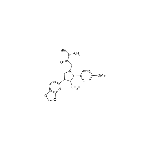 CCC(C)N(C)C(=O)CN1CC(c2ccc3c(c2)OCO3)C(C(=O)O)C1c1ccc(OC)cc1